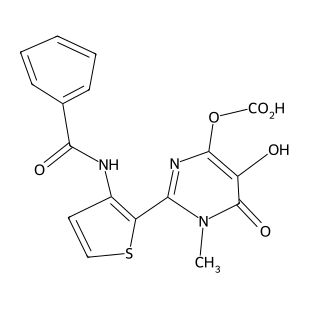 Cn1c(-c2sccc2NC(=O)c2ccccc2)nc(OC(=O)O)c(O)c1=O